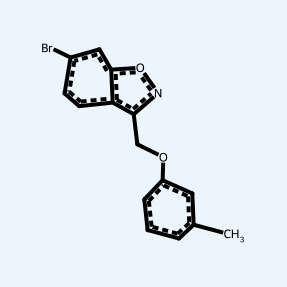 Cc1cccc(OCc2noc3cc(Br)ccc23)c1